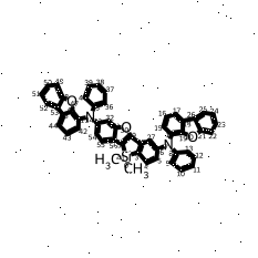 C[Si]1(C)c2ccc(N(c3ccccc3)c3cccc4c3oc3ccccc34)cc2-c2oc3cc(N(c4ccccc4)c4cccc5c4oc4ccccc45)ccc3c21